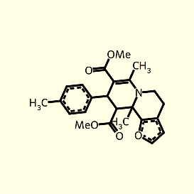 COC(=O)C1=C(C)N2CCc3ccoc3C2(C)C(C(=O)OC)C1c1ccc(C)cc1